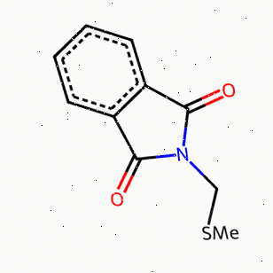 CSCN1C(=O)c2ccccc2C1=O